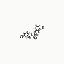 O=C(c1cc2ncc(Cl)cn2n1)N1CCc2c(CF)cccc2C1